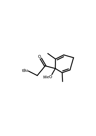 COC1(C(=O)CC(C)(C)C)C(C)=CCC=C1C